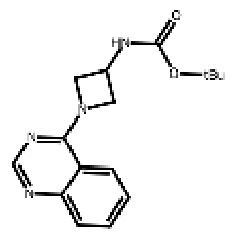 CC(C)(C)OC(=O)NC1CN(c2ncnc3ccccc23)C1